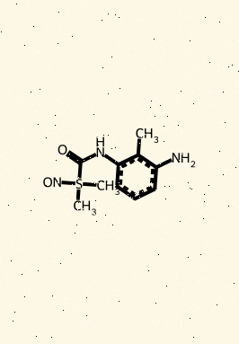 Cc1c(N)cccc1NC(=O)S(C)(C)N=O